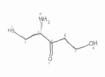 N[C@@H](CS)C(=O)CCO